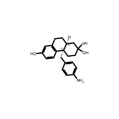 CCCC1(O)CC[C@@]2(Cc3ccc(N)cc3)c3ccc(O)cc3CC[C@H]2C1